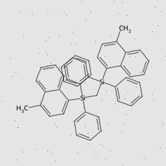 Cc1ccc([Si](C[Si](c2ccccc2)(c2ccccc2)c2ccc(C)c3ccccc23)(c2ccccc2)c2ccccc2)c2ccccc12